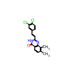 Cc1ccc2c(=O)[nH]c(/C=C/c3ccc(Cl)c(Cl)c3)nc2c1C